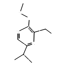 CCc1nc(C(C)C)cnc1ONC